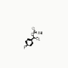 CCC(OS(=O)O)c1ccc(F)cc1